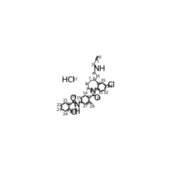 C#CCNCCC1CCCN(C(=O)c2ccc(NC(=O)c3ccccc3Cl)cc2C)c2ccc(Cl)cc21.Cl